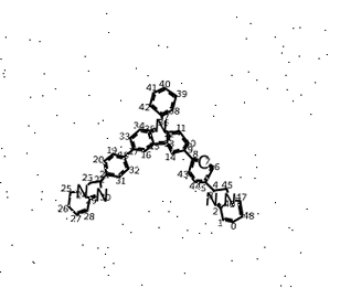 C1=CC2=NC(c3ccc(-c4ccc5c(c4)c4cc(-c6ccc(C7CN8CCC=CC8=N7)cc6)ccc4n5-c4ccccc4)cc3)CN2C=C1